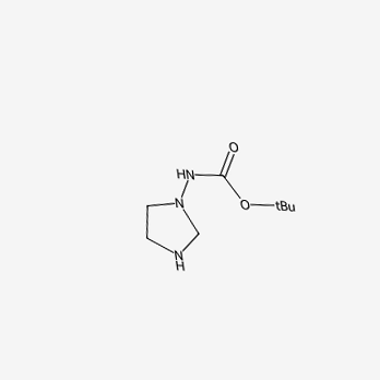 CC(C)(C)OC(=O)NN1CCNC1